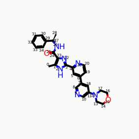 Cc1[nH]c(-c2cc(-c3cncc(N4CCOCC4)c3)ccn2)nc1C(=O)N[C@H](C)c1ccccc1